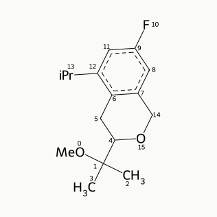 COC(C)(C)C1Cc2c(cc(F)cc2C(C)C)CO1